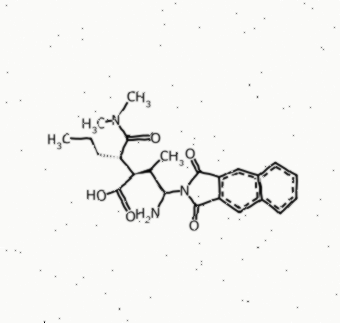 CCC[C@H](C(=O)N(C)C)[C@H](C(=O)O)C(C)C(N)N1C(=O)c2cc3ccccc3cc2C1=O